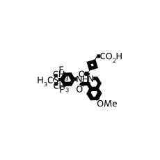 COc1ccc2c(c1)CCN(C(=O)[C@H]1C[C@@H](CC(=O)O)C1)C2C(=O)Nc1cc(F)c(S(C)(C)C)c(F)c1